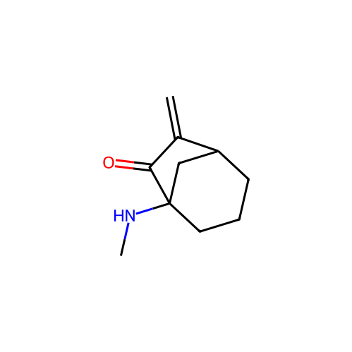 C=C1C(=O)C2(NC)CCCC1C2